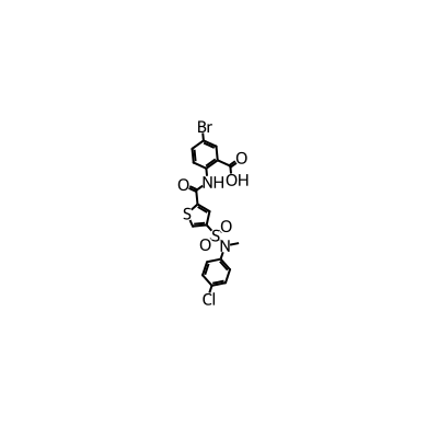 CN(c1ccc(Cl)cc1)S(=O)(=O)c1csc(C(=O)Nc2ccc(Br)cc2C(=O)O)c1